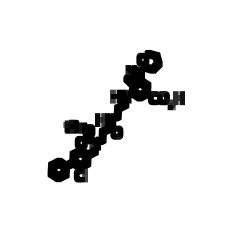 CC(C)(C)OC(=O)N(CCC(=O)NCCCNc1cc(C(=O)O)cc2c1cnn2C1CCCCO1)Cc1ccc(-c2ccccc2)c(Cl)c1